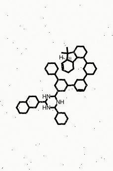 CC1(C)C2CCCC(C3CCCC(C4CC=CC(C5CC(C6CCCCC6)CC(C6NC(C7CCCCC7)NC(C7CCC8CCCCC8C7)N6)C5)C4)C3)C2C2CCC=C[C@H]21